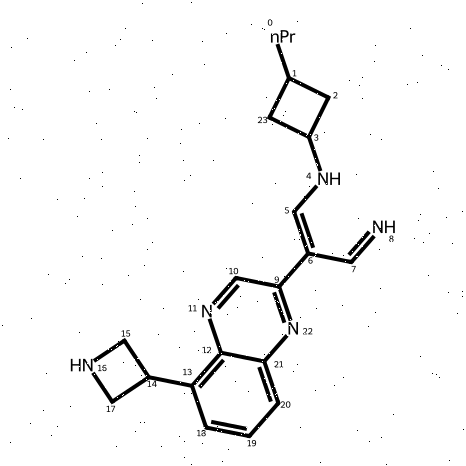 CCCC1CC(N/C=C(\C=N)c2cnc3c(C4CNC4)cccc3n2)C1